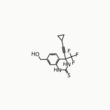 OCc1ccc2c(c1)NC(=S)NC2(C#CC1CC1)C(F)(F)F